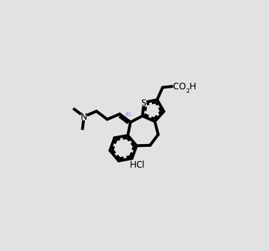 CN(C)CC/C=C1\c2ccccc2CCc2cc(CC(=O)O)sc21.Cl